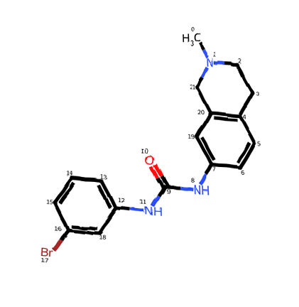 CN1CCc2ccc(NC(=O)Nc3cccc(Br)c3)cc2C1